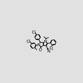 COc1ccccc1-c1c(C#N)c2c(n1C(C)C)C(c1ccc(Cl)cc1)N(c1cc(Cl)ccc1C)C2=O